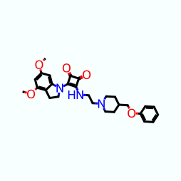 COc1cc(OC)c2c(c1)N(c1c(NCCN3CCC(COc4ccccc4)CC3)c(=O)c1=O)CC2